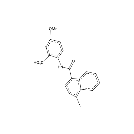 COc1ccc(NC(=O)c2ccc(C)c3ccccc23)c(C(=O)O)n1